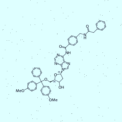 COc1ccc(C(OC[C@H]2O[C@@H](n3cnc4c(NC(=O)c5ccc(CNC(=O)Cc6ccccc6)cc5)ncnc43)CC2O)(c2ccccc2)c2ccc(OC)cc2)cc1